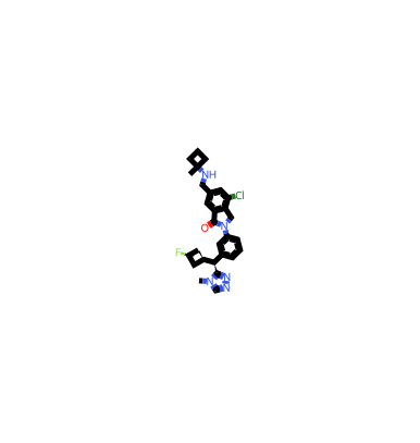 Cn1cnnc1[C@@H](c1cccc(N2Cc3c(Cl)cc(CNC4(C)CCC4)cc3C2=O)c1)[C@H]1C[C@H](F)C1